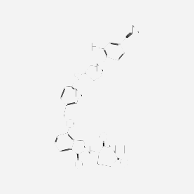 N#Cc1ccc(N2CCC(Sc3ccc(COc4cccc5c4CN([C@@H]4CCC(=O)NC4=O)C5=O)cn3)C2)c(F)c1